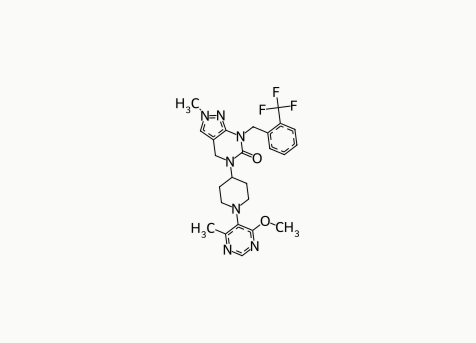 COc1ncnc(C)c1N1CCC(N2Cc3cn(C)nc3N(Cc3ccccc3C(F)(F)F)C2=O)CC1